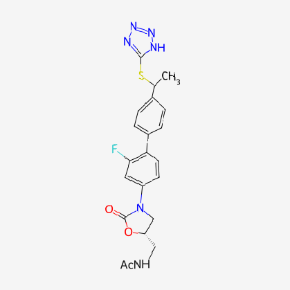 CC(=O)NC[C@H]1CN(c2ccc(-c3ccc(C(C)Sc4nnn[nH]4)cc3)c(F)c2)C(=O)O1